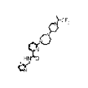 C[C@H](N1CCC(N2CCCN(c3cccc(C(=O)NCc4nccs4)n3)CC2)CC1)C(F)(F)F